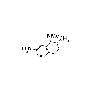 CNC1c2cc([N+](=O)[O-])ccc2CC[C@H]1C